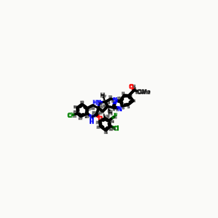 COC(=O)c1ccc2nc3n(c2c1)C[C@@H]1N[C@]2(Cc4ccc(Cl)cc4NC2=O)[C@@H](c2cccc(Cl)c2F)[C@H]31